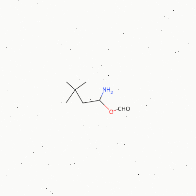 CC(C)(C)CC(N)OC=O